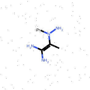 CC(=C(N)N)N(N)C(C)C